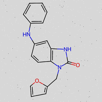 O=c1[nH]c2cc(Nc3ccccc3)ccc2n1Cc1ccco1